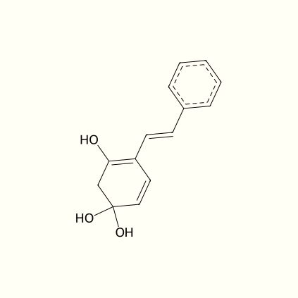 OC1=C(C=Cc2ccccc2)C=CC(O)(O)C1